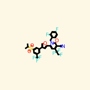 CC(C)S(=O)(=O)c1cc(-c2coc(-c3cc(C(F)(F)CF)c(C#N)c(=O)n3Cc3ccc(F)cc3F)c2)cc(C(F)(F)F)c1